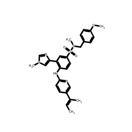 C/C=C(\C)c1ccc(Nc2ccc(S(=O)(=O)N(C)Cc3ccc(OC)cc3)cc2-c2cn(C)cn2)nc1